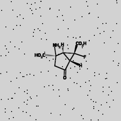 N[C@]1(C(=O)O)CC(=O)[C@@H]2[C@@H]1[C@@]2(F)C(=O)O